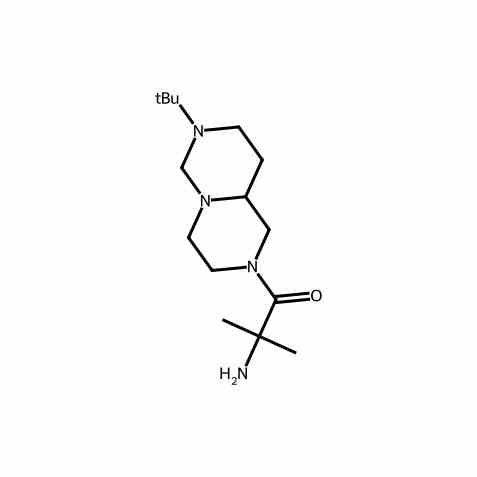 CC(C)(N)C(=O)N1CCN2CN(C(C)(C)C)CCC2C1